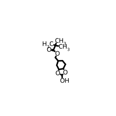 CC(C)(C)C(=O)OCC1CCC2OC(O)OC2C1